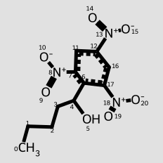 CCCCC(O)c1c([N+](=O)[O-])cc([N+](=O)[O-])cc1[N+](=O)[O-]